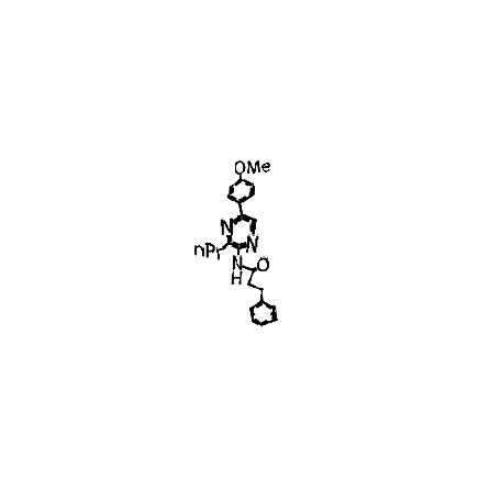 CCCc1nc(-c2ccc(OC)cc2)cnc1NC(=O)CCc1ccccc1